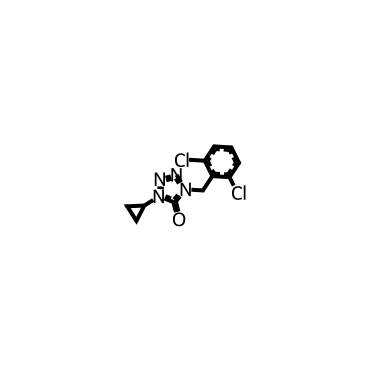 O=c1n(Cc2c(Cl)cccc2Cl)nnn1C1CC1